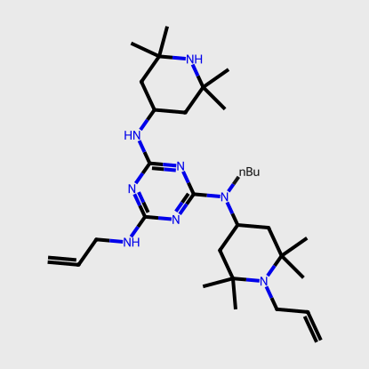 C=CCNc1nc(NC2CC(C)(C)NC(C)(C)C2)nc(N(CCCC)C2CC(C)(C)N(CC=C)C(C)(C)C2)n1